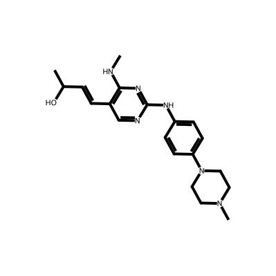 CNc1nc(Nc2ccc(N3CCN(C)CC3)cc2)ncc1C=CC(C)O